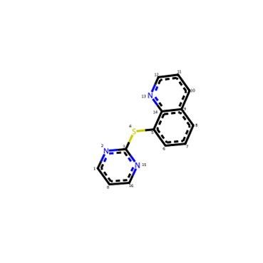 c1cnc(Sc2cccc3cccnc23)nc1